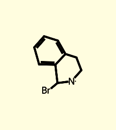 BrC1[N]CCc2ccccc21